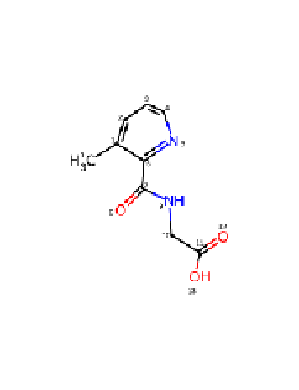 Cc1cccnc1C(=O)NCC(=O)O